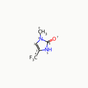 Cn1[c]c(C(F)(F)F)[nH]c1=O